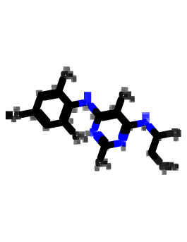 CCC(COC)Nc1nc(C)nc(Nc2c(C)cc(C)cc2C)c1C